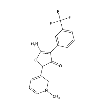 CN1C=CC=C(C2OC(N)=C(c3cccc(C(F)(F)F)c3)C2=O)C1